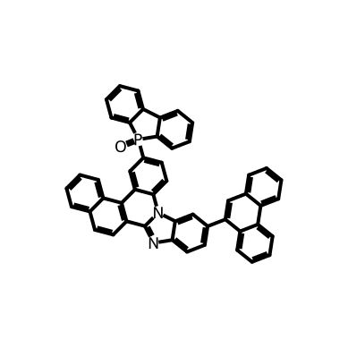 O=P1(c2ccc3c(c2)c2c4ccccc4ccc2c2nc4ccc(-c5cc6ccccc6c6ccccc56)cc4n32)c2ccccc2-c2ccccc21